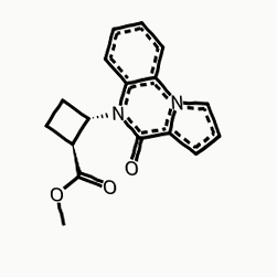 COC(=O)[C@H]1CC[C@@H]1n1c(=O)c2cccn2c2ccccc21